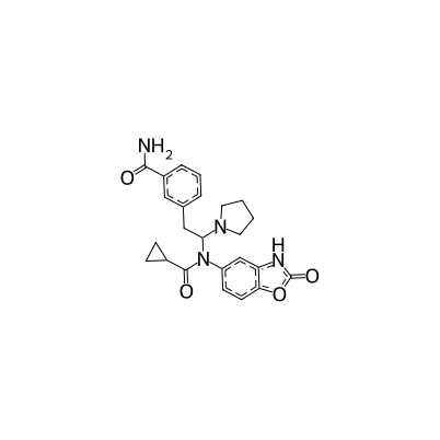 NC(=O)c1cccc(CC(N2CCCC2)N(C(=O)C2CC2)c2ccc3oc(=O)[nH]c3c2)c1